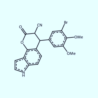 COc1cc(C2c3ccc4[nH]ccc4c3OC(=O)C2C#N)cc(Br)c1OC